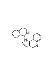 c1ccc2c(c1)CCNC2n1ncc2cnc3ccccc3c21